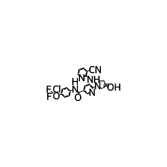 N#Cc1cccnc1Nc1cc(C(=O)Nc2ccc(OC(F)(F)Cl)cc2)cnc1N1CC[C@@H](O)C1